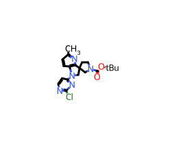 Cc1ccc2c(n1)C1(CCN(C(=O)OC(C)(C)C)C1)CN2c1ccnc(Cl)n1